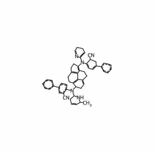 CC1C=CCC(N(c2ccc(-c3ccccc3)cc2C#N)C2CC=C3CCC4=C(N(C5=CCCC=N5)C5=CC=C(c6ccccc6)CC5C#N)CCC5=C4C3=C2CC5)N1